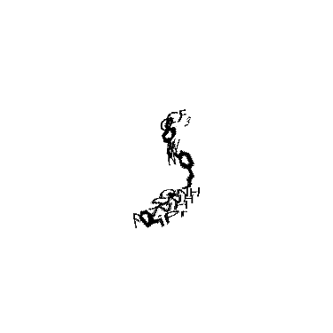 CC(C)c1cc(F)ccc1NC(=S)NC(=O)NCCCCc1cccc(-c2ncn(-c3ccc(OC(F)(F)F)cc3)n2)c1